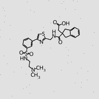 CN(C)CCNS(=O)(=O)c1cccc(-c2csc(CNC(=O)C3(CC(=O)O)Cc4ccccc4C3)n2)c1